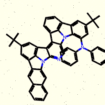 CC(C)(C)c1cc(N(c2ccccc2)c2ccccc2)c2c(c1)c1cccc3c4c5c6cc(C(C)(C)C)cc7c8cc9ccccc9cc8n(c5ncc4n2c13)c76